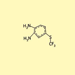 Nc1ccc(SC(F)(F)F)cc1N